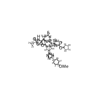 COc1ccc(-c2nnn([C@@H]3C[C@@H](C(=O)N[C@]4(C(=O)NS(=O)(=O)C5CC5)C[C@H]4C(F)F)N(C(=O)[C@@H](NC(=O)OC4CCCC4)C(C)(C)C)C3)n2)cc1